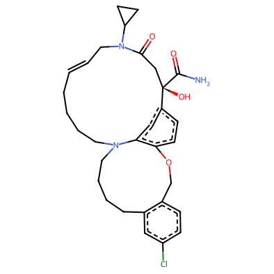 NC(=O)[C@@]1(O)CC(=O)N(C2CC2)C/C=C/CCCCN2CCCCc3cc(Cl)ccc3COc3ccc1cc32